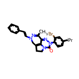 CC1=NN(C=Cc2ccccc2)CC2=C3C1=NN(c1ccc(C(C)C)cc1Br)C(=O)N3CC2